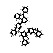 c1ccc(-n2c3ccccc3c3c(-c4ccc5c6ccccc6n(-c6cc(-c7ccc8oc9ccccc9c8c7)c7sc8ccccc8c7c6)c5c4)cccc32)cc1